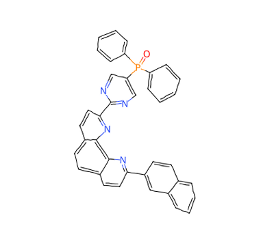 O=P(c1ccccc1)(c1ccccc1)c1cnc(-c2ccc3ccc4ccc(-c5ccc6ccccc6c5)nc4c3n2)nc1